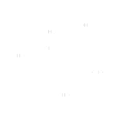 O=Cc1ccc(O)c(O)c1.O=Cc1ccc(O)c(O)c1